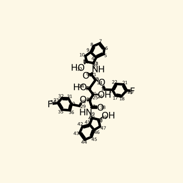 O=C(N[C@H]1c2ccccc2C[C@H]1O)[C@H](OCc1ccc(F)cc1)[C@H](O)[C@@H](O)[C@@H](OCc1ccc(F)cc1)C(=O)N[C@H]1c2ccccc2C[C@H]1O